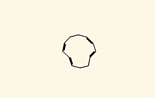 [C]1=C\C=C\CC/C=C/C=C\CC/1